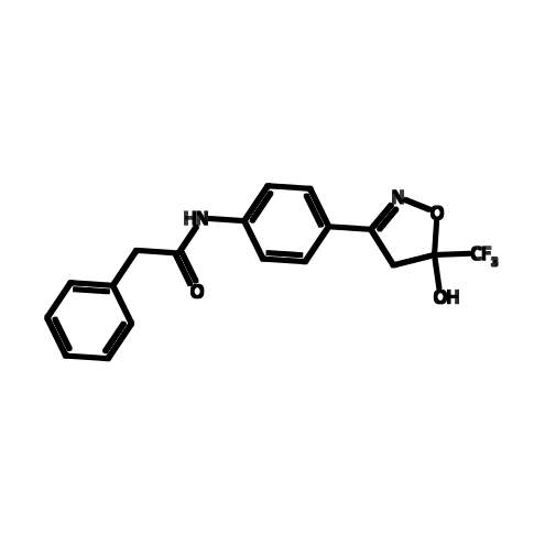 O=C(Cc1ccccc1)Nc1ccc(C2=NOC(O)(C(F)(F)F)C2)cc1